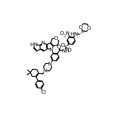 CC1(C)CCC(CN2CCN(c3ccc(C(=O)NS(=O)(=O)c4ccc(NC[C@H]5COCCO5)c([N+](=O)[O-])c4)c(-n4c5c(c6nc7[nH]ccc7cc64)COCC5)c3)CC2)=C(c2ccc(Cl)cc2)C1